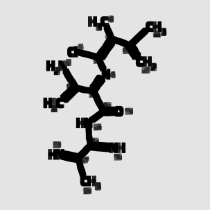 C=C(N)/C(=N\C(Cl)=C(\C)C(=C)C)C(=O)NC(=N)C(C)=N